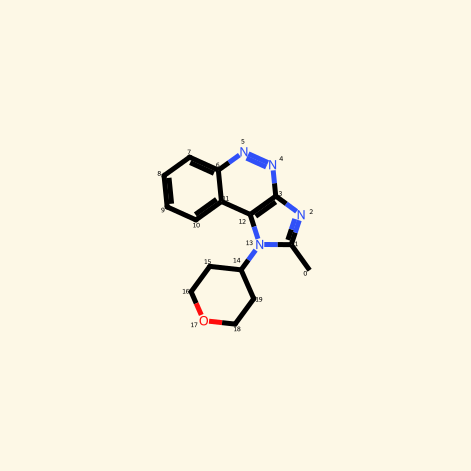 Cc1nc2nnc3ccccc3c2n1C1CCOCC1